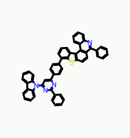 c1ccc(-c2nc(-c3ccc(-c4cccc5c4sc4ccc6c(-c7ccccc7)nc7ccccc7c6c45)cc3)cc(-n3c4ccccc4c4ccccc43)n2)cc1